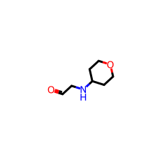 O=CCNC1CCOCC1